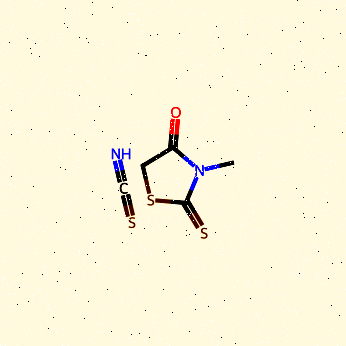 CN1C(=O)CSC1=S.N=C=S